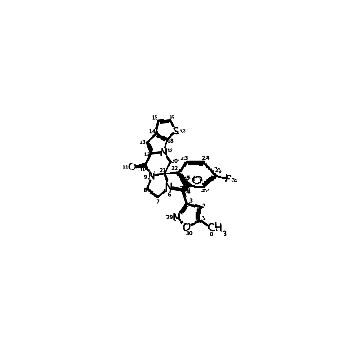 Cc1cc(C(=O)N2CCN3C(=O)c4cc5ccsc5n4CC23c2ccc(F)cc2)no1